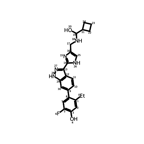 CCc1cc(O)c(F)cc1-c1ccc2c(-c3nc(CNC(O)C4CCC4)c[nH]3)n[nH]c2c1